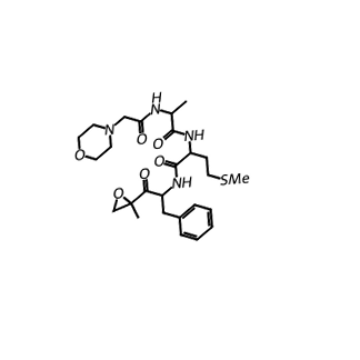 CSCCC(NC(=O)C(C)NC(=O)CN1CCOCC1)C(=O)NC(Cc1ccccc1)C(=O)C1(C)CO1